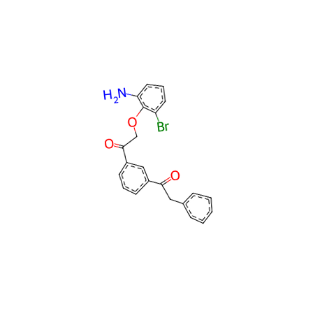 Nc1cccc(Br)c1OCC(=O)c1cccc(C(=O)Cc2ccccc2)c1